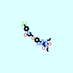 CCCn1c(=O)c2[nH]c(-c3ccc(OCC4CC(=O)N(c5ccc(C(F)(F)F)cc5)C4)cc3)nc2n(CCC)c1=O